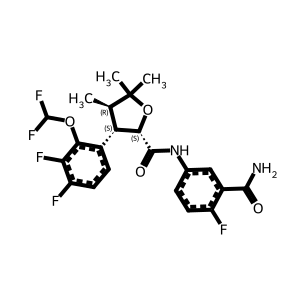 C[C@@H]1[C@@H](c2ccc(F)c(F)c2OC(F)F)[C@@H](C(=O)Nc2ccc(F)c(C(N)=O)c2)OC1(C)C